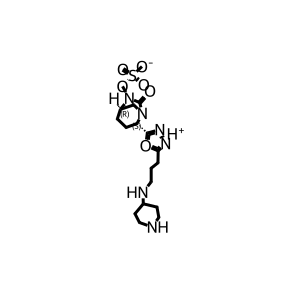 O=C1N2C[C@@H](CC[C@H]2c2nnc(CCCNC3CCNCC3)o2)N1OS(=O)(=O)[O-].[H+]